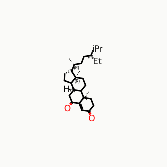 CC[C@H](CC[C@@H](C)[C@H]1CCC2[C@@H]3CC(=O)C4=CC(=O)CC[C@]4(C)C3CC[C@@]21C)C(C)C